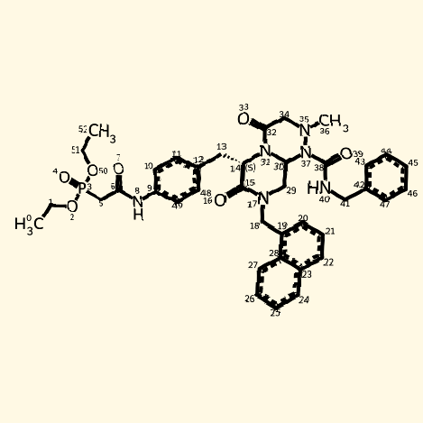 CCOP(=O)(CC(=O)Nc1ccc(C[C@H]2C(=O)N(Cc3cccc4ccccc34)CC3N2C(=O)CN(C)N3C(=O)NCc2ccccc2)cc1)OCC